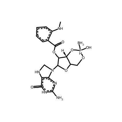 B[PH]1(O)OCC2OC(N3CNc4c3nc(N)[nH]c4=O)C(OC(=O)c3ccccc3NC)[C@@H]2O1